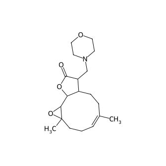 C/C1=C/CCC2(C)OC2C2OC(=O)C(CN3CCOCC3)C2CC1